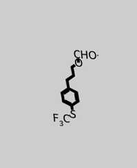 O=[C]OCCCc1ccc(SC(F)(F)F)cc1